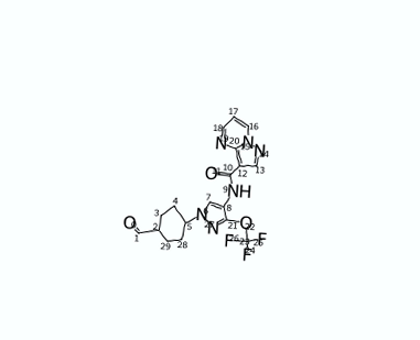 O=CC1CCC(n2cc(NC(=O)c3cnn4cccnc34)c(OC(F)(F)F)n2)CC1